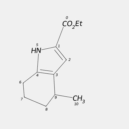 CCOC(=O)c1cc2c([nH]1)CCCC2C